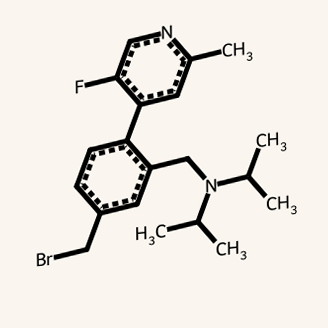 Cc1cc(-c2ccc(CBr)cc2CN(C(C)C)C(C)C)c(F)cn1